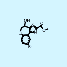 COC(=O)c1nc2c(s1)C(O)COc1ccc(Br)cc1-2